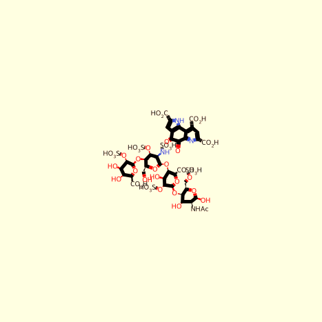 CC(=O)N[C@@H]1[C@@H](O)[C@H](O[C@@H]2O[C@H](C(=O)O)[C@@H](O[C@@H]3O[C@H](CO)[C@@H](O[C@H]4O[C@@H](C(=O)O)[C@H](O)[C@@H](O)[C@@H]4OS(=O)(=O)O)[C@H](OS(=O)(=O)O)[C@H]3NS(=O)(=O)O)[C@H](O)[C@H]2OS(=O)(=O)O)[C@H](COS(=O)(=O)O)O[C@H]1O.O=C(O)c1cc(C(=O)O)c2c(n1)C(=O)C(=O)c1cc(C(=O)O)[nH]c1-2